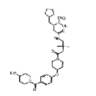 CC(C)(CNC(=O)CC(CC1CCCC1)N(O)C=O)CC(=O)N1CCC(Oc2ccc(C(=O)N3CCC(O)CC3)cc2)CC1